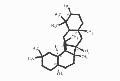 C/C=C1/[C@@H]2CC(C)(C)CC[C@]2(C)CC[C@@]1(C)[C@]1(C)CCC2C(C)(C)[C@@H](O)CC[C@]2(C)C1